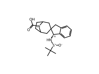 CC(C)(C)[S+]([O-])N[C@@H]1c2ccccc2CC12CC1CCC(C2)N1C(=O)O